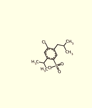 CC(C)Cc1cc(S(=O)(=O)Cl)c(C(C)C)cc1Cl